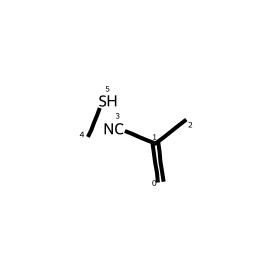 C=C(C)C#N.CS